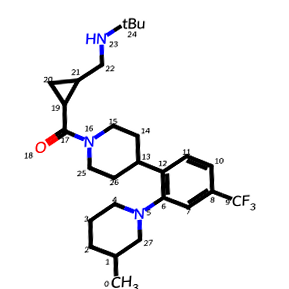 CC1CCCN(c2cc(C(F)(F)F)ccc2C2CCN(C(=O)C3CC3CNC(C)(C)C)CC2)C1